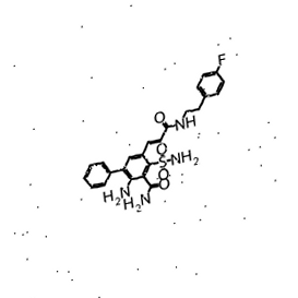 NC(=O)c1c(N)c(-c2ccccc2)cc(C=CC(=O)NCCc2ccc(F)cc2)c1S(N)(=O)=O